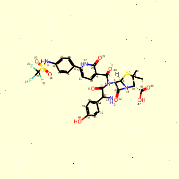 CC1(C)S[C@@H]2[C@H](N(C(=O)c3ccc(-c4ccc(NS(=O)(=O)C(F)(F)F)cc4)[nH]c3=O)C(=O)C(N)c3ccc(O)cc3)C(=O)N2[C@H]1C(=O)O